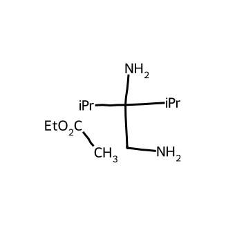 CC(C)C(N)(CN)C(C)C.CCOC(C)=O